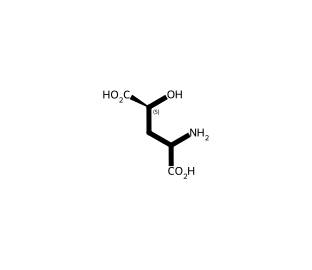 NC(C[C@H](O)C(=O)O)C(=O)O